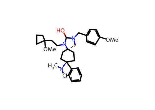 COc1ccc(CN2C[C@]3(CC[C@](c4ccccc4)(N(C)C)CC3)N(CCC3(OC)CCC3)C2O)cc1